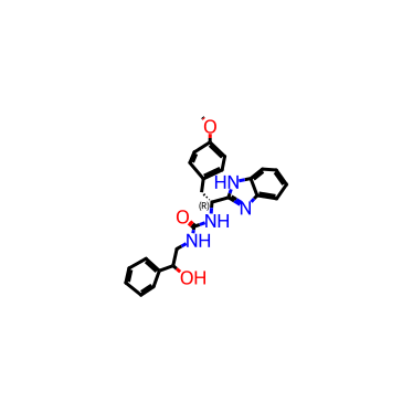 COc1ccc(C[C@@H](NC(=O)NCC(O)c2ccccc2)c2nc3ccccc3[nH]2)cc1